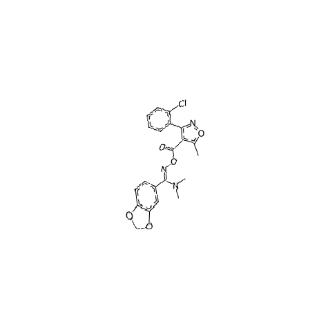 Cc1onc(-c2ccccc2Cl)c1C(=O)O/N=C(/c1ccc2c(c1)OCO2)N(C)C